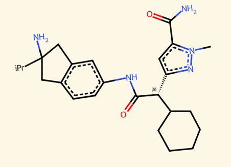 CC(C)C1(N)Cc2ccc(NC(=O)[C@H](c3cc(C(N)=O)n(C)n3)C3CCCCC3)cc2C1